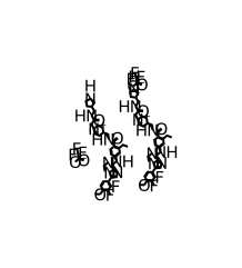 CCc1cc(Nc2nccn3c(-c4ccc(OC)c(F)c4F)cnc23)ccc1C(=O)NCC1CC[N+](C)(CC(=O)NCC2CCNC2)CC1.CCc1cc(Nc2nccn3c(-c4ccc(OC)c(F)c4F)cnc23)ccc1C(=O)NCC1CC[N+](C)(CC(=O)NCC2CCNC2)CC1.O=C([O-])C(F)(F)F.O=C([O-])C(F)(F)F